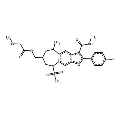 CNCC(=O)OC[C@@H]1CN(S(C)(=O)=O)c2cc3oc(-c4ccc(F)cc4)c(C(=O)NC)c3cc2[C@H](C)O1